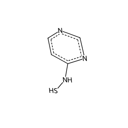 SNc1ccncn1